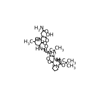 CC(C)C[C@H](NC(=O)CNC(=O)[C@H](CC(C)C)NC(=O)[C@@H]1CCCN1C(=O)OC(C)(C)C)C(=O)N[C@@H](CC(N)=O)C(=O)O